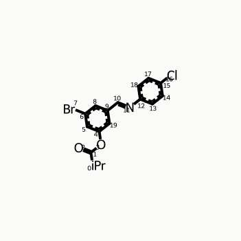 CC(C)C(=O)Oc1cc(Br)cc(C=Nc2ccc(Cl)cc2)c1